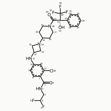 O=C(NCC(F)F)c1ccc(NC2CN(C3CCN(C(=O)[C@](O)(c4ccccc4)C(F)(F)F)CC3)C2)cc1Cl